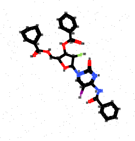 O=C(Nc1nc(=O)n(C2OC(COC(=O)c3ccccc3)C(OC(=O)c3ccccc3)C2F)cc1I)c1ccccc1